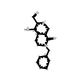 O=[C]c1ncc2c(=O)n(Cc3ccccc3)ccc2c1O